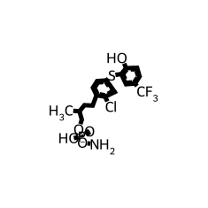 CC(CCc1ccc(Sc2cc(C(F)(F)F)ccc2O)cc1Cl)COP(=O)(O)ON